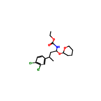 CCOC(=O)NC(CC(C)c1ccc(Cl)c(Cl)c1)OC1CCCCO1